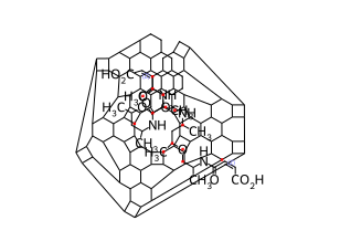 CC(COC(C)CC(C)NC(=O)C1CCC2CC3CCC4C5C3C3C2C1C1CC2C6C7C1C3C1C5C4C3C4C1C7C1C5C6C2C2C6C5C5C7C1C4C3C1C7C3C1C1C4C7C8C9C%10C%11CC%12CC%13CC(C)C%14C(C(=O)NC(C)CC(C)OCC(C)NC(=O)/C=C\C(=O)O)C%15C%16C%17C%14C%13C(C%12%11)C%11C%10C9C9C(C%11%17)C%10C%16C%15C%11C%12C%10C%10C9C8C7C7C%10C8C%12C%11C9C%10C2C6C2C5C3C3C1C4C7C1C8C9C%10C2C31)NC(=O)/C=C\C(=O)O